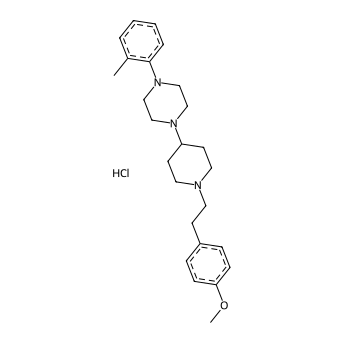 COc1ccc(CCN2CCC(N3CCN(c4ccccc4C)CC3)CC2)cc1.Cl